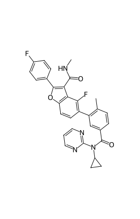 CNC(=O)c1c(-c2ccc(F)cc2)oc2ccc(-c3cc(C(=O)N(c4ncccn4)C4CC4)ccc3C)c(F)c12